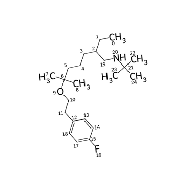 CCC(CCCC(C)(C)OCCc1ccc(F)cc1)CNC(C)(C)C